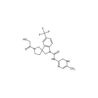 CC1=CN=C(NC(=O)N2CC3(CCN(C(=O)CO)C3)c3cc(C(F)(F)F)ccc32)CN1